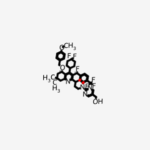 COc1ccc(CO[C@H]2CC(C)(C)Cc3nc(C4CCN(c5ncc(CO)cn5)CC4)c([C@@H](F)c4ccc(C(F)(F)F)cc4)c(C4CCC(F)(F)CC4)c32)cc1